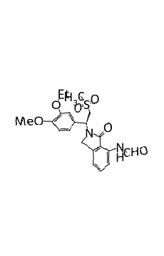 CCOc1cc([C@@H](CS(C)(=O)=O)N2Cc3cccc(NC=O)c3C2=O)ccc1OC